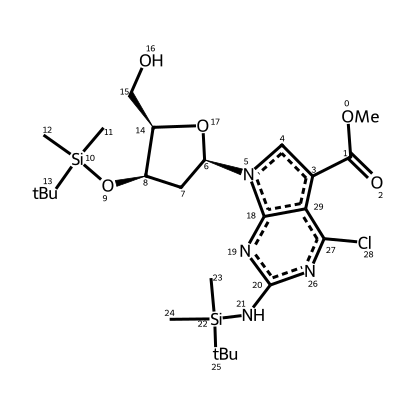 COC(=O)c1cn([C@H]2C[C@@H](O[Si](C)(C)C(C)(C)C)[C@@H](CO)O2)c2nc(N[Si](C)(C)C(C)(C)C)nc(Cl)c12